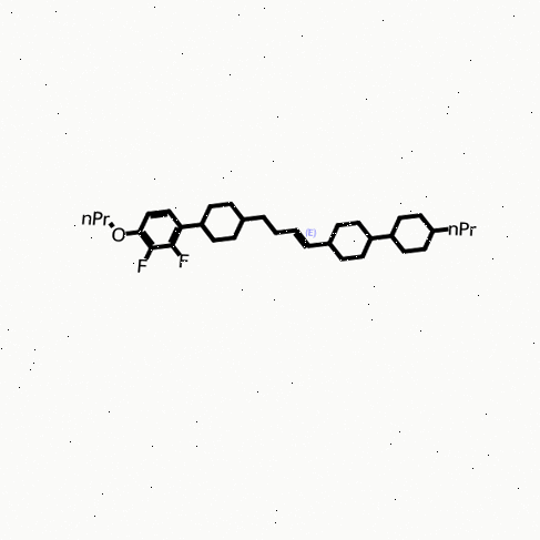 CCCOc1ccc(C2CCC(CC/C=C/C3CCC(C4CCC(CCC)CC4)CC3)CC2)c(F)c1F